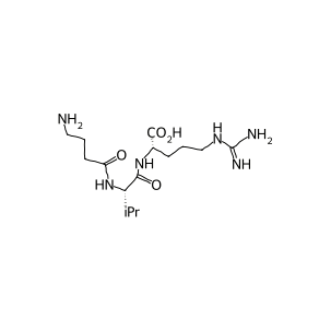 CC(C)[C@H](NC(=O)CCCN)C(=O)N[C@@H](CCCNC(=N)N)C(=O)O